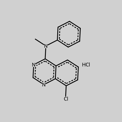 CN(c1ccccc1)c1ncnc2c(Cl)cccc12.Cl